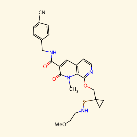 COCCNSC1(COc2nccc3cc(C(=O)NCc4ccc(C#N)cc4)c(=O)n(C)c23)CC1